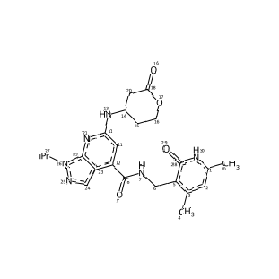 Cc1cc(C)c(CNC(=O)c2cc(NC3CCOC(=O)C3)nc3c2cnn3C(C)C)c(=O)[nH]1